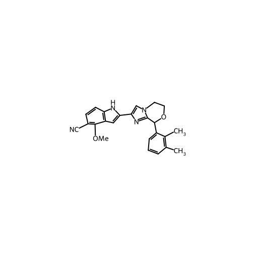 COc1c(C#N)ccc2[nH]c(-c3cn4c(n3)C(c3cccc(C)c3C)OCC4)cc12